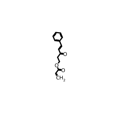 C=CC(=O)OCCC(=O)C=Cc1ccccc1